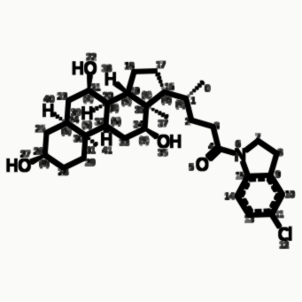 C[C@H](CCC(=O)N1CCc2cc(Cl)ccc21)[C@H]1CC[C@H]2[C@@H]3[C@H](O)C[C@@H]4C[C@H](O)CC[C@]4(C)[C@H]3C[C@H](O)[C@]12C